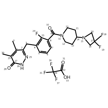 Cc1c(Cc2cccc(C(=O)N3CCC(N4CC(F)(F)C4)CC3)c2F)n[nH]c(=O)c1C.O=C(O)C(F)(F)F